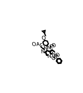 CC(=O)OCc1nc2cnc3c(ccn3S(=O)(=O)c3ccccc3)c2n1C1(N=C=O)CCC(OCC2CC2)CC1